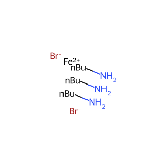 CCCCN.CCCCN.CCCCN.[Br-].[Br-].[Fe+2]